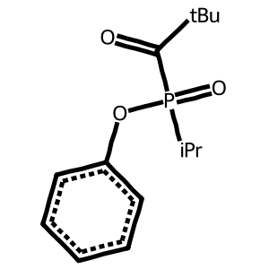 CC(C)P(=O)(Oc1ccccc1)C(=O)C(C)(C)C